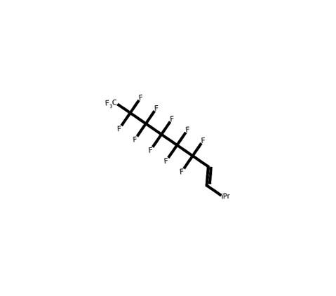 CC(C)C=CC(F)(F)C(F)(F)C(F)(F)C(F)(F)C(F)(F)C(F)(F)F